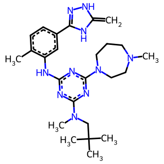 C=C1NN=C(c2ccc(C)c(Nc3nc(N(C)CC(C)(C)C)nc(N4CCCN(C)CC4)n3)c2)N1